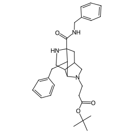 CC(C)(C)OC(=O)CCN1CC2CC3(C(=O)NCc4ccccc4)NCC2C1C3Cc1ccccc1